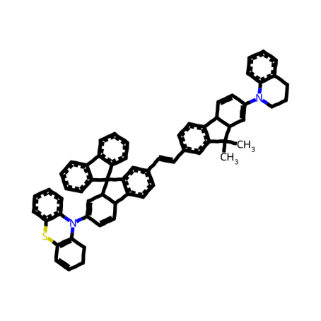 CC1(C)c2cc(/C=C/c3ccc4c(c3)C3(c5ccccc5-c5ccccc53)C3C=C(N5C6=C(C=CCC6)Sc6ccccc65)C=CC43)ccc2C2C=CC(N3CCCc4ccccc43)=CC21